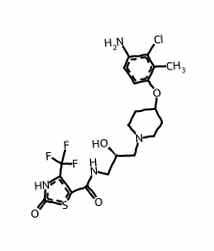 Cc1c(OC2CCN(C[C@H](O)CNC(=O)c3sc(=O)[nH]c3C(F)(F)F)CC2)ccc(N)c1Cl